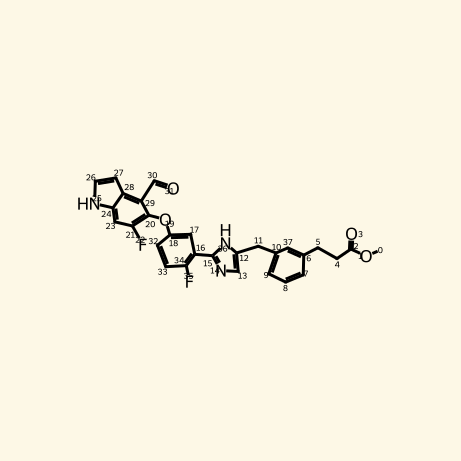 COC(=O)CCc1cccc(Cc2cnc(-c3cc(Oc4c(F)cc5[nH]ccc5c4C=O)ccc3F)[nH]2)c1